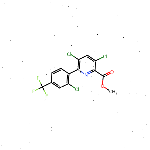 COC(=O)c1nc(-c2ccc(C(F)(F)F)cc2Cl)c(Cl)cc1Cl